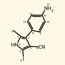 Cc1[nH]c(I)c(C#N)c1-c1ccc(N)cc1